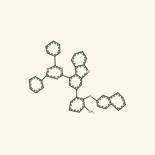 Cc1cccc(-c2cc(-c3nc(-c4ccccc4)nc(-c4ccccc4)n3)c3c(c2)oc2ccccc23)c1Oc1ccc2ccccc2c1